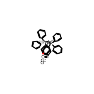 [C]=O.[Cl-].[Cl-].c1ccc([PH]([Ir+2][PH](c2ccccc2)(c2ccccc2)c2ccccc2)(c2ccccc2)c2ccccc2)cc1